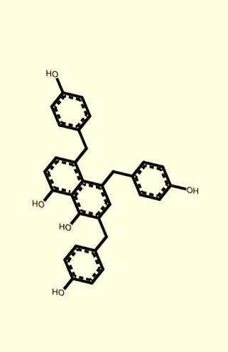 Oc1ccc(Cc2cc(Cc3ccc(O)cc3)c3c(Cc4ccc(O)cc4)ccc(O)c3c2O)cc1